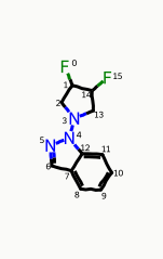 FC1CN(n2ncc3ccccc32)CC1F